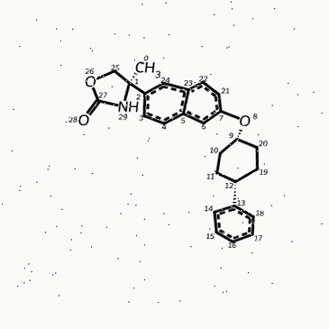 C[C@@]1(c2ccc3cc(O[C@H]4CC[C@@H](c5ccccc5)CC4)ccc3c2)COC(=O)N1